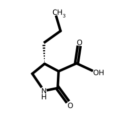 CCC[C@H]1CNC(=O)C1C(=O)O